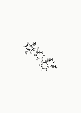 Nc1cccc(C2CCN(CC3C[C@@H]4C=C[C@H]3C4)CC2)c1N